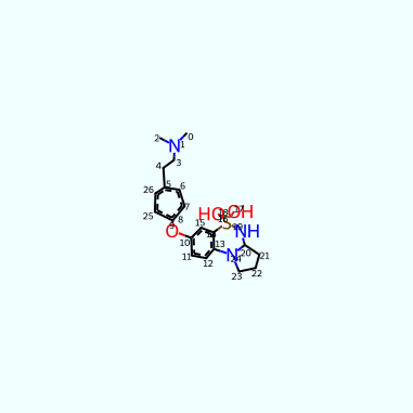 CN(C)CCc1ccc(Oc2ccc3c(c2)S(O)(O)NC2CCCN32)cc1